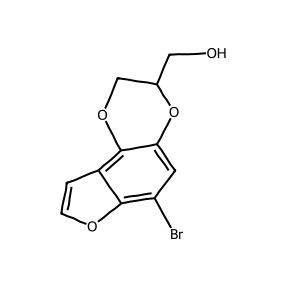 OCC1COc2c(cc(Br)c3occc23)O1